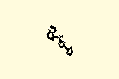 c1cc(Nc2nc(-c3nccs3)cs2)c2cccnc2c1